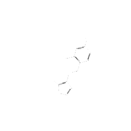 O=Cc1occc1OCc1ccc(Cl)cc1Cl